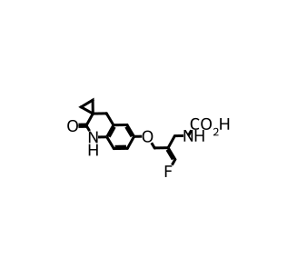 O=C(O)NC/C(=C/F)COc1ccc2c(c1)CC1(CC1)C(=O)N2